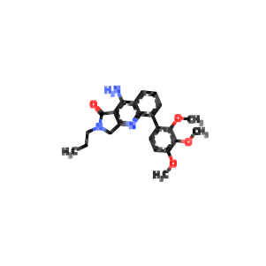 CCCN1Cc2nc3c(-c4ccc(OC)c(OC)c4OC)cccc3c(N)c2C1=O